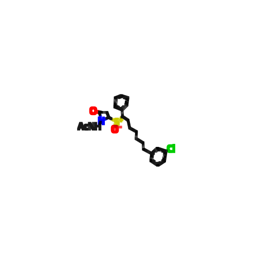 CC(=O)NN1C(=O)CC1[S+]([O-])C(CCCCCCc1cccc(Cl)c1)c1ccccc1